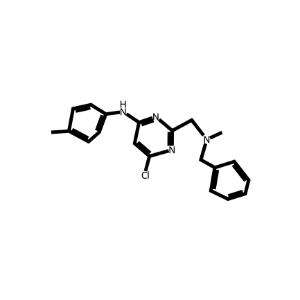 Cc1ccc(Nc2cc(Cl)nc(CN(C)Cc3ccccc3)n2)cc1